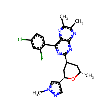 Cc1nc2nc([C@@H]3C[C@@H](c4cnn(C)c4)O[C@@H](C)C3)nc(-c3ccc(Cl)cc3F)c2nc1C